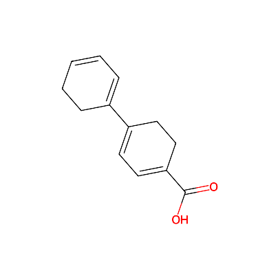 O=C(O)C1=CC=C(C2=CC=CCC2)CC1